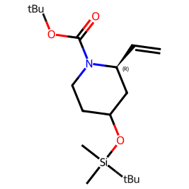 C=C[C@H]1CC(O[Si](C)(C)C(C)(C)C)CCN1C(=O)OC(C)(C)C